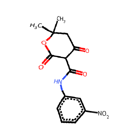 CC1(C)CC(=O)C(C(=O)Nc2cccc([N+](=O)[O-])c2)C(=O)O1